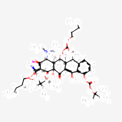 CCCCOC(=O)O[C@H]1[C@H]2C(=C(O)c3c(OC(=O)OC(C)(C)C)cccc3[C@@H]2C)C(=O)[C@]2(O[Si](C)(C)C(C)(C)C)C(=O)c3c(OCCCC)noc3[C@@H](N(C)C)[C@H]12